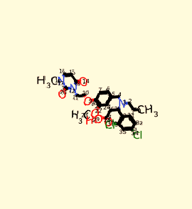 CCCN(Cc1ccc(OCCn2c(=O)ccn(C)c2=O)c(OC)c1)C(CC(=O)O)c1ccc(Cl)cc1Cl